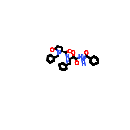 O=C(NNC(=O)c1ccccc1)C(=O)C(Cc1ccccc1)NC(=O)[C@@H]1CCC(=O)N1Cc1ccccc1